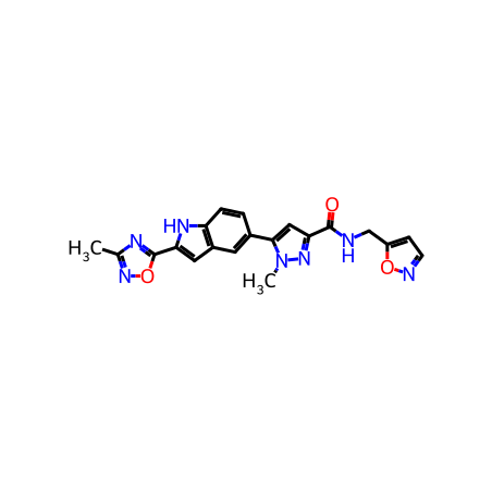 Cc1noc(-c2cc3cc(-c4cc(C(=O)NCc5ccno5)nn4C)ccc3[nH]2)n1